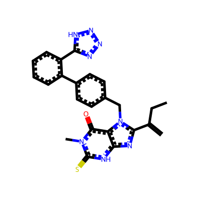 C=C(CC)c1nc2[nH]c(=S)n(C)c(=O)c2n1Cc1ccc(-c2ccccc2-c2nnn[nH]2)cc1